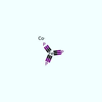 [Co].[P]#[Fe](#[P])#[P]